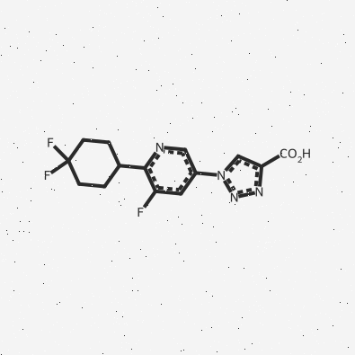 O=C(O)c1cn(-c2cnc(C3CCC(F)(F)CC3)c(F)c2)nn1